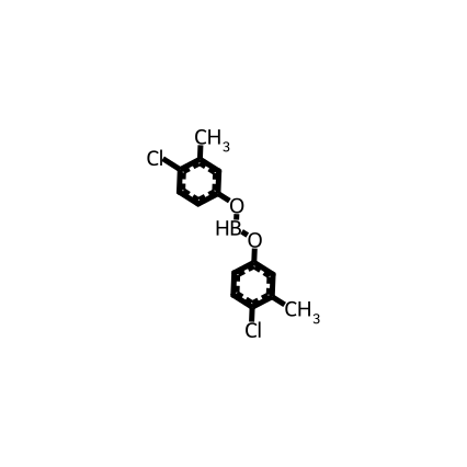 Cc1cc(OBOc2ccc(Cl)c(C)c2)ccc1Cl